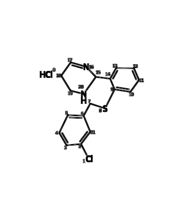 Cl.Clc1cccc(CSc2ccccc2C2N=CCCN2)c1